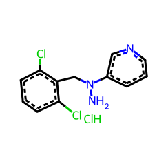 Cl.NN(Cc1c(Cl)cccc1Cl)c1cccnc1